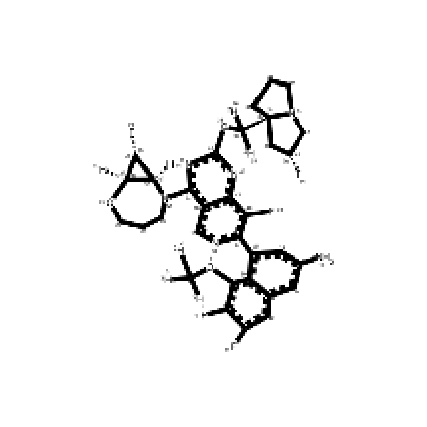 [2H]C([2H])([2H])Oc1c(F)c(F)cc2cc(N)cc(-c3ncc4c(N5CCCO[C@H]6[C@H](F)[C@H]65)nc(OC([2H])([2H])[C@@]56CCCN5C[C@H](F)C6)nc4c3F)c12